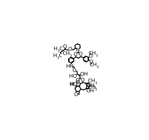 CCC(C)(C)C(=O)COCC1CCCCN1C(=O)OC(CCc1ccc(OC)c(OC)c1)c1cccc(NCOCC(O)[C@@H](O)C(=O)OC2C(=O)C3(C)C(O)CC4OCC4C3CC3(O)CCC(C)=C2C3(C)C)c1